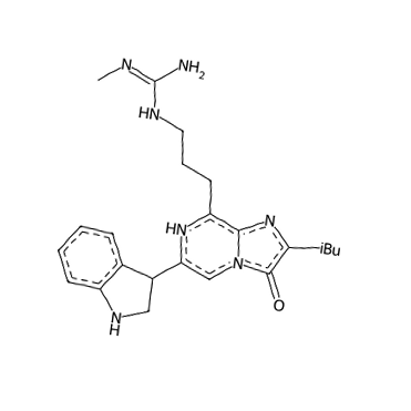 CCC(C)c1nc2c(CCCN/C(N)=N\C)[nH]c(C3CNc4ccccc43)cn-2c1=O